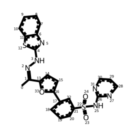 CC(=NNc1nc2ccccc2s1)c1ccc(-c2cccc(S(=O)(=O)Nc3ncccn3)c2)o1